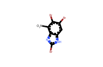 O=[N+]([O-])c1c(Br)c(Br)cc2[nH]c(Br)nc12